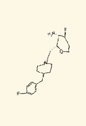 N[C@@H]1[C@@H](F)CCO[C@@H]1CN1CCC(Cc2ccc(F)cc2)CC1